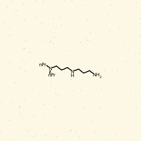 CCCN(CCC)CCCNCCCN